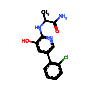 CC(Nc1ncc(-c2ccccc2Cl)cc1O)C(N)=O